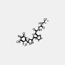 O=C(CNC(=O)c1sc(C2=NO[C@@](c3cc(Cl)c(F)c(Cl)c3)(C(F)(F)F)C2)c2c1CCC2)NCC(F)(F)F